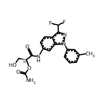 Cc1cccc(-n2nc(C(F)F)c3ccc(NC(=O)[C@H](CO)OC(N)=O)cc32)c1